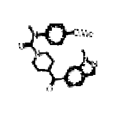 COc1ccc(N(C)C(=O)N2CCC(C(=O)c3ccc4cnn(C)c4c3)CC2)cc1